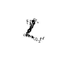 O=C1N=C(N2CC(C(=O)O)C2)S/C1=C\c1ccc2c(cnn2Cc2ccc(C(F)(F)F)cc2C(F)(F)F)c1